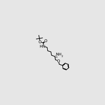 CC(C)(C)OC(=O)NCCCC[C@H](N)COCc1ccccc1